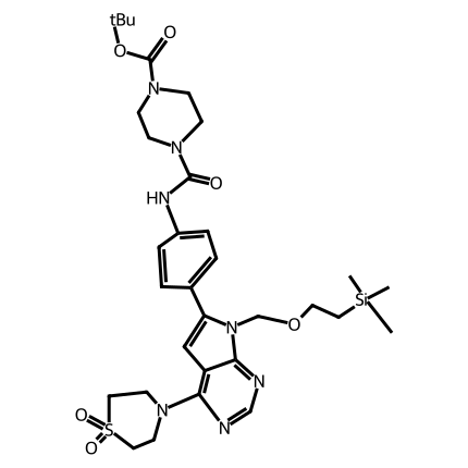 CC(C)(C)OC(=O)N1CCN(C(=O)Nc2ccc(-c3cc4c(N5CCS(=O)(=O)CC5)ncnc4n3COCC[Si](C)(C)C)cc2)CC1